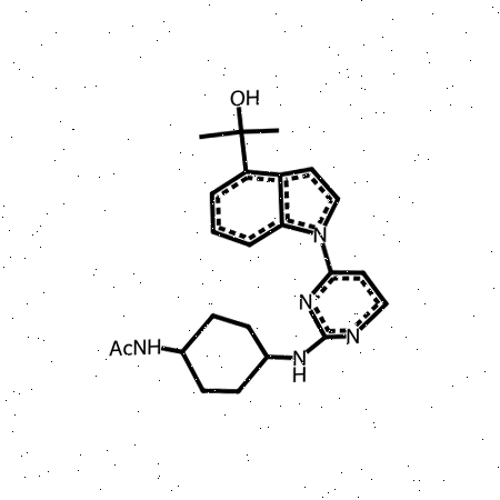 CC(=O)NC1CCC(Nc2nccc(-n3ccc4c(C(C)(C)O)cccc43)n2)CC1